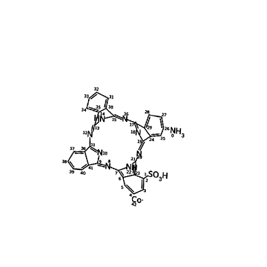 N.O=S(=O)(O)c1cccc2c3nc4nc(nc5[nH]c(nc6nc(nc([nH]3)c12)-c1ccccc1-6)c1ccccc51)-c1ccccc1-4.[Co]